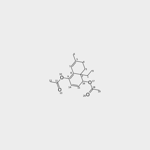 CCC12CCC(C)=CC1=C(OC(C)=O)C=CC2OC(C)=O